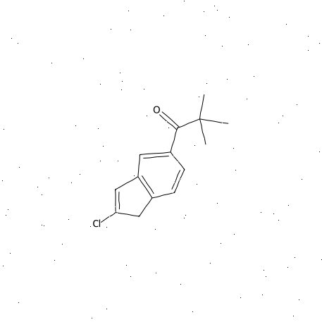 CC(C)(C)C(=O)c1ccc2c(c1)C=C(Cl)C2